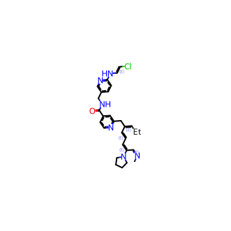 CC\C=C(/C=C/C=C(\C=N/C)N1CCCC1)Cc1cc(C(=O)NCc2ccc(N/C=C/Cl)nc2)ccn1